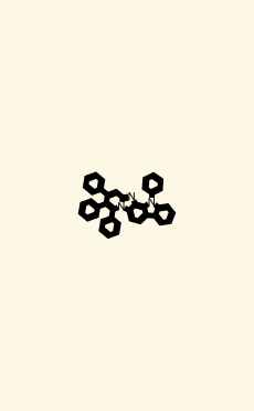 c1ccc(-c2cc3nc4c5c(ccc4n3c(-c3ccccc3)c2-c2ccccc2)c2ccccc2n5-c2ccccc2)cc1